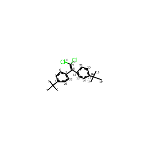 CC(C)(C)c1ccc(C(=C(Cl)Cl)c2ccc(C(C)(C)C)cc2)cc1